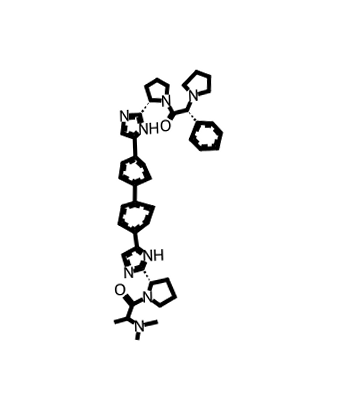 CC(C(=O)N1CCC[C@H]1c1ncc(-c2ccc(-c3ccc(-c4cnc([C@@H]5CCCN5C(=O)[C@@H](c5ccccc5)N5CCCC5)[nH]4)cc3)cc2)[nH]1)N(C)C